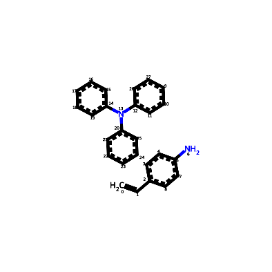 C=Cc1ccc(N)cc1.c1ccc(N(c2ccccc2)c2ccccc2)cc1